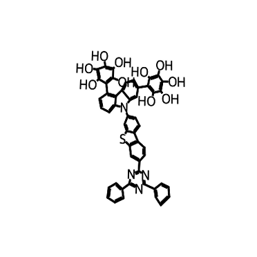 Oc1c(O)c(O)c(-c2ccc3c4c(-c5c(O)c(O)c(O)c(O)c5O)cccc4n(-c4ccc5c(c4)sc4cc(-c6nc(-c7ccccc7)nc(-c7ccccc7)n6)ccc45)c3c2)c(O)c1O